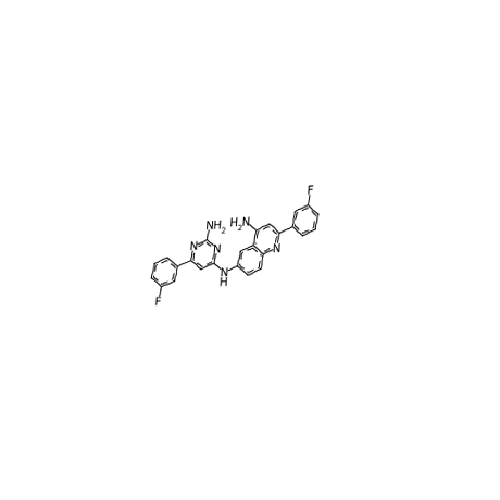 Nc1nc(Nc2ccc3nc(-c4cccc(F)c4)cc(N)c3c2)cc(-c2cccc(F)c2)n1